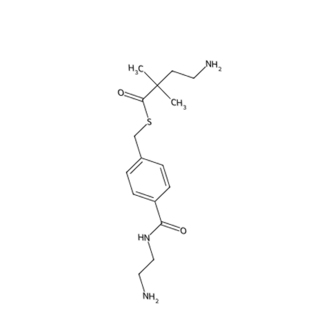 CC(C)(CCN)C(=O)SCc1ccc(C(=O)NCCN)cc1